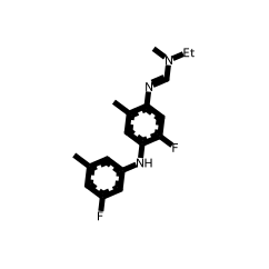 CCN(C)C=Nc1cc(F)c(Nc2cc(C)cc(F)c2)cc1C